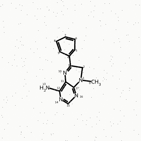 CN1CC(c2ccccc2)=Nc2c(N)ncnc21